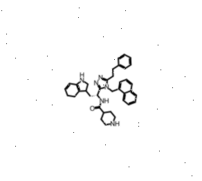 O=C(N[C@H](CC1CNC2=C1CCC=C2)c1nnc(CCc2ccccc2)n1Cc1cccc2ccccc12)C1CCNCC1